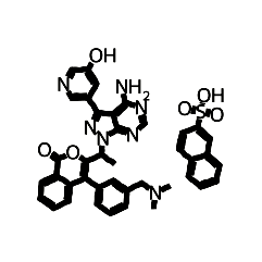 CC(c1oc(=O)c2ccccc2c1-c1cccc(CN(C)C)c1)n1nc(-c2cncc(O)c2)c2c(N)ncnc21.O=S(=O)(O)c1ccc2ccccc2c1